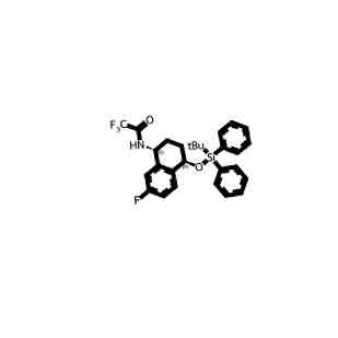 CC(C)(C)[Si](O[C@@H]1CC[C@@H](NC(=O)C(F)(F)F)c2cc(F)ccc21)(c1ccccc1)c1ccccc1